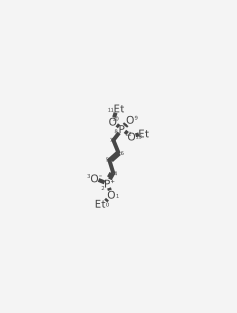 CCO/[P+]([O-])=C/C=C/CP(=O)(OCC)OCC